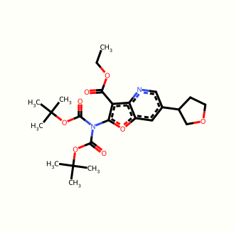 CCOC(=O)c1c(N(C(=O)OC(C)(C)C)C(=O)OC(C)(C)C)oc2cc(C3CCOC3)cnc12